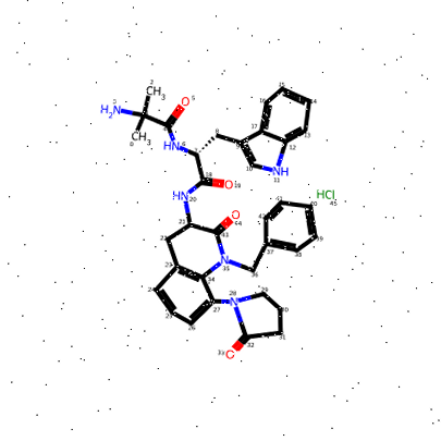 CC(C)(N)C(=O)N[C@H](Cc1c[nH]c2ccccc12)C(=O)NC1Cc2cccc(N3CCCC3=O)c2N(Cc2ccccc2)C1=O.Cl